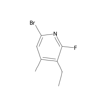 CCc1c(C)cc(Br)nc1F